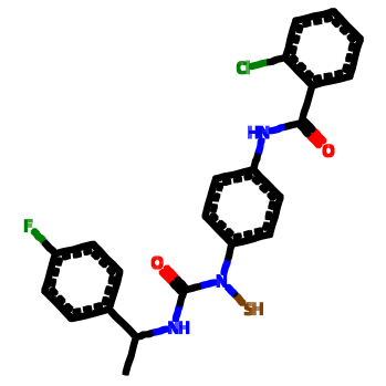 CC(NC(=O)N(S)c1ccc(NC(=O)c2ccccc2Cl)cc1)c1ccc(F)cc1